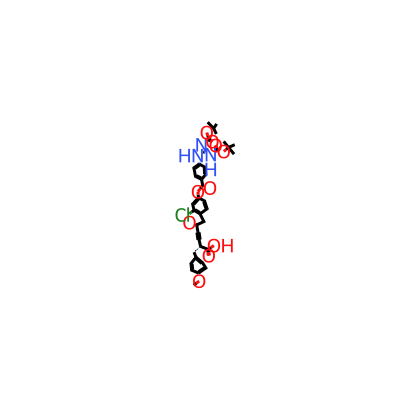 COc1ccc(C[C@H](C#CC(=O)Cc2ccc(OC(=O)c3ccc(N/C(=N/C(=O)OC(C)(C)C)NC(=O)OC(C)(C)C)cc3)cc2Cl)C(=O)O)cc1